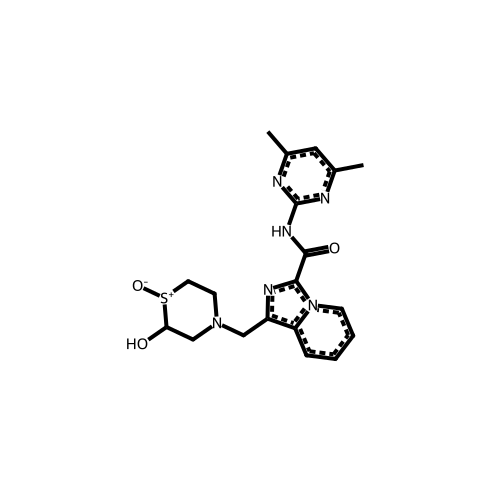 Cc1cc(C)nc(NC(=O)c2nc(CN3CC[S+]([O-])C(O)C3)c3ccccn23)n1